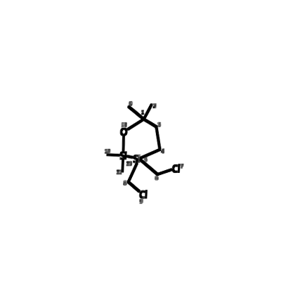 CC1(C)CC[Si](CCl)(CCl)[Si](C)(C)O1